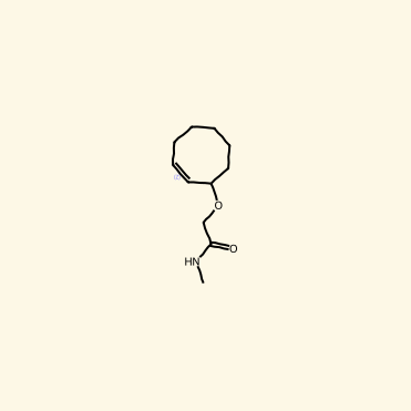 CNC(=O)COC1/C=C\CCCCC1